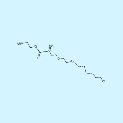 CNCCOC(=O)C(=N)CCOCCOCCCCCCCl